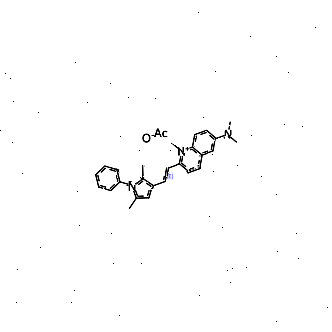 CC(=O)[O-].Cc1cc(/C=C/c2ccc3cc(N(C)C)ccc3[n+]2C)c(C)n1-c1ccccc1